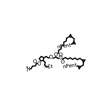 CC/C=C\CC1C(CCOCC(COC(=O)CCCCCCCC2CC2CC2CC2CCCCC)OC(=O)CCCCCCCC2CC2CC2CC2CCCCC)CCC1OC(=O)CCCN(C)C